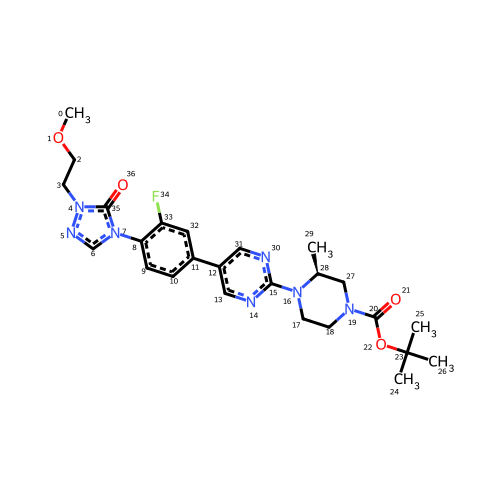 COCCn1ncn(-c2ccc(-c3cnc(N4CCN(C(=O)OC(C)(C)C)C[C@@H]4C)nc3)cc2F)c1=O